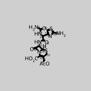 CC(=O)OCC1=C(C(=O)O)N2C(=O)[C@@H](NC(=O)C(NC(N)=O)c3csc(N)n3)[C@H]2SC1